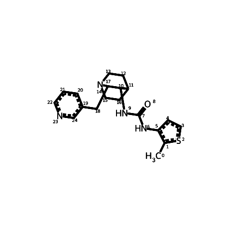 Cc1sccc1NC(=O)NC1C2CCN(CC2)C1Cc1cccnc1